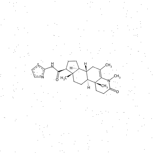 CC1=C2N(C)C(=O)CC[C@]2(C)[C@H]2CC[C@]3(C)[C@@H](C(=O)Nc4nccs4)CC[C@H]3[C@@H]2C1